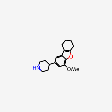 COc1cc(C2CCNCC2)cc2c3c(oc12)CCCC3